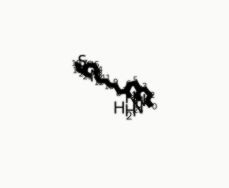 C=C1CCC2=CC=C(CCCCCN3CCc4sccc4C3)NC2N1N